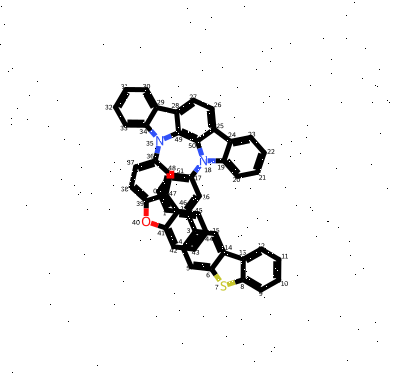 c1cc(-c2ccc3sc4ccccc4c3c2)cc(-n2c3ccccc3c3ccc4c5ccccc5n(-c5ccc6oc7ccccc7c6c5)c4c32)c1